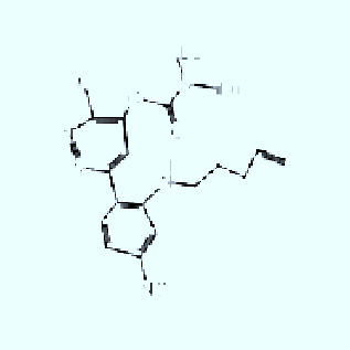 C=CCCCNc1cc([N+](=O)[O-])ccc1-c1cc(OC(=O)N(C(C)CC)C(C)(C)C)c(Cl)nn1